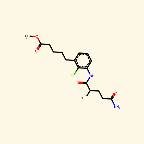 COC(=O)CCCCc1cccc(NC(=O)C(C)CCC(N)=O)c1Cl